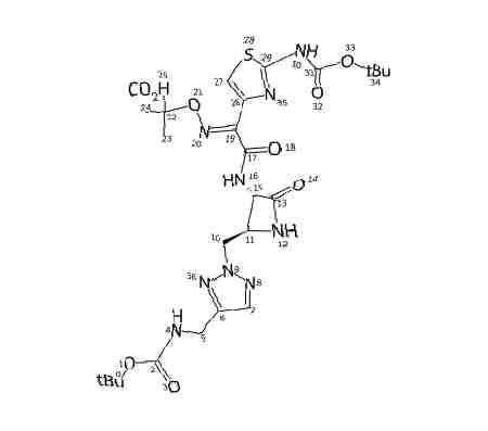 CC(C)(C)OC(=O)NCc1cnn(C[C@@H]2NC(=O)[C@H]2NC(=O)C(=NOC(C)(C)C(=O)O)c2csc(NC(=O)OC(C)(C)C)n2)n1